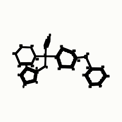 N#CC(Cn1ccnc1)(c1ccc(Oc2ccccc2)cc1)C1C=CCCC1